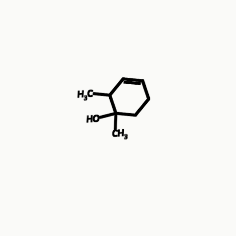 CC1C=CCCC1(C)O